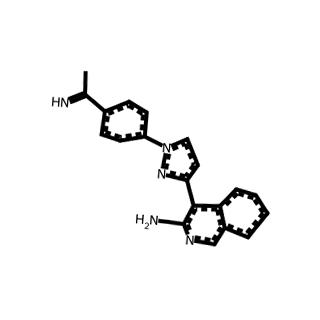 CC(=N)c1ccc(-n2ccc(-c3c(N)ncc4ccccc34)n2)cc1